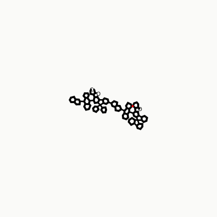 c1ccc(C2(c3ccccc3)c3cc(-c4ccc5cc(-c6c7ccccc7c(-c7cc8c(c9oc%10ccccc%10c79)-c7ccccc7C87c8ccccc8-c8ccccc87)c7ccccc67)ccc5c4)ccc3-c3c2cc(-c2c4ccccc4c(-c4ccc5ccccc5c4)c4ccccc24)c2c3oc3ccccc32)cc1